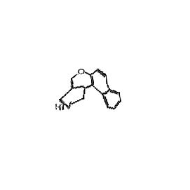 c1ccc2c3c(ccc2c1)OCC1CNCC31